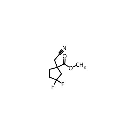 COC(=O)C1(CC#N)CCC(F)(F)C1